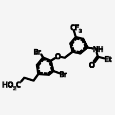 CCC(=O)Nc1cc(COc2c(Br)cc(CCC(=O)O)cc2Br)cc(C(F)(F)F)c1